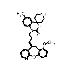 COc1cccc2c1CC(=CCCN1C(=O)OC3(CCNCC3)c3cc(C)ccc31)c1cccnc1O2